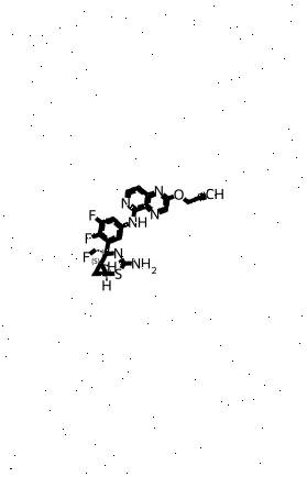 C#CCOc1cnc2c(Nc3cc(F)c(F)c([C@@]4(CF)N=C(N)S[C@H]5C[C@H]54)c3)nccc2n1